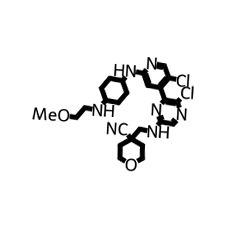 COCCNC1CCC(Nc2cc(-c3nc(NCC4(C#N)CCOCC4)cnc3Cl)c(Cl)cn2)CC1